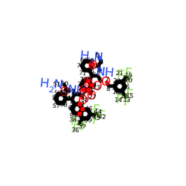 NCC(=O)NC(C(OCc1cc(C(F)(F)F)cc(C(F)(F)F)c1)OC(=O)C(=O)OC(OCc1cc(C(F)(F)F)cc(C(F)(F)F)c1)C(NC(=O)CN)C(c1ccccc1)c1ccccc1)C(c1ccccc1)c1ccccc1